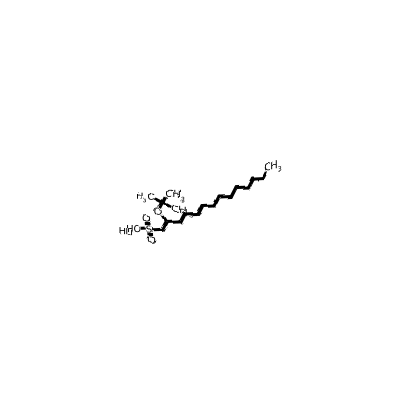 CCCCCCCCCCCCC(CS(=O)(=O)O)OC(C)(C)C.[LiH]